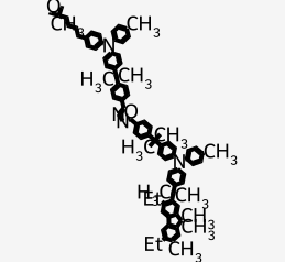 CCc1cc2c(cc1C)C(C)(C)c1cc(C(C)(C)c3ccc(N(c4ccc(C)cc4)c4ccc(C(C)(C)c5ccc(-c6nnc(-c7ccc(C(C)(C)c8ccc(N(c9ccc(C)cc9)c9ccc(CCCCC%10(C)COC%10)cc9)cc8)cc7)o6)cc5)cc4)cc3)c(CC)cc1-2